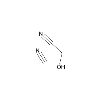 C#N.N#CCO